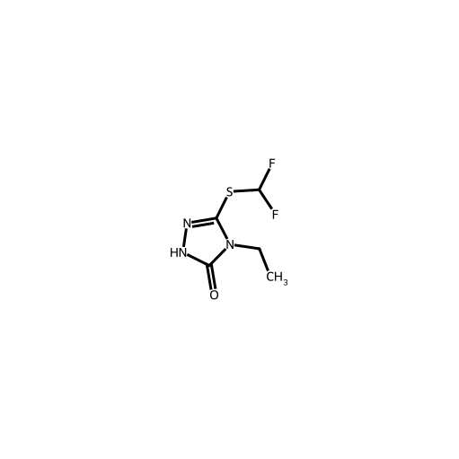 CCn1c(SC(F)F)n[nH]c1=O